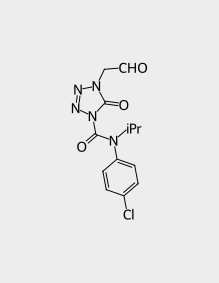 CC(C)N(C(=O)n1nnn(CC=O)c1=O)c1ccc(Cl)cc1